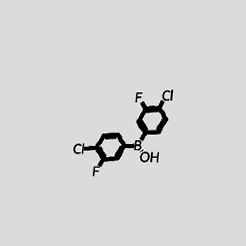 OB(c1ccc(Cl)c(F)c1)c1ccc(Cl)c(F)c1